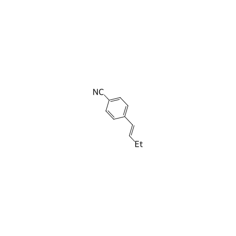 CCC=Cc1ccc(C#N)cc1